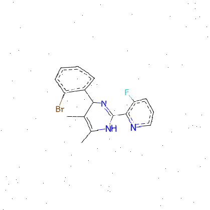 CC1=C(C)C(c2ccccc2Br)N=C(c2ncccc2F)N1